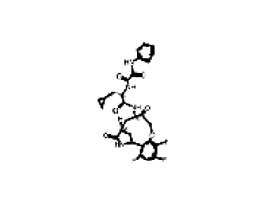 O=C(Nc1ccccc1)C(=O)N[C@@H](CC1CC1)C(=O)N[C@H]1C[C@@H]2CC(NC2=O)c2c(F)cc(F)c(F)c2OCC1=O